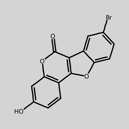 O=c1oc2cc(O)ccc2c2oc3ccc(Br)cc3c12